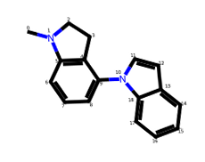 CN1CCc2c1cccc2-n1ccc2c[c]ccc21